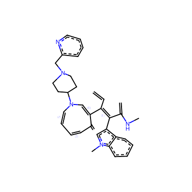 C=CC(/C1=C/N(C2CCN(Cc3ccccn3)CC2)/C=C\C=C/C1=C)=C(\C(=C)NC)c1cn(C)c2ccccc12